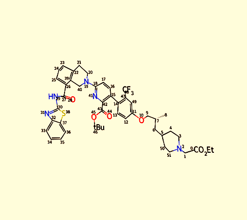 CCOC(=O)CN1CCC(C[C@@H](C)COc2ccc(-c3ccc(N4CCc5cccc(C(=O)Nc6nc7ccccc7s6)c5C4)nc3C(=O)OC(C)(C)C)c(C(F)(F)F)c2)CC1